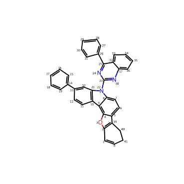 C1=Cc2oc3c(ccc4c3c3ccc(-c5ccccc5)cc3n4-c3nc(-c4ccccc4)c4ccccc4n3)c2CC1